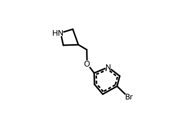 Brc1ccc(OCC2CNC2)nc1